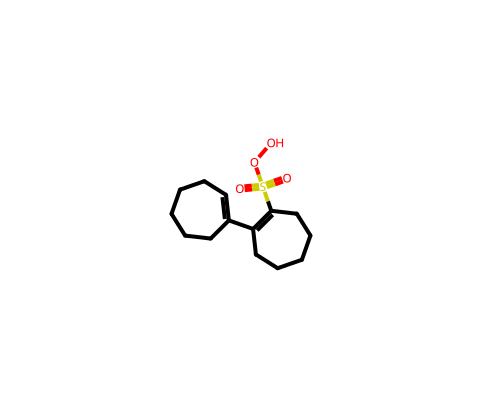 O=S(=O)(OO)C1=C(C2=CCCCCC2)CCCCC1